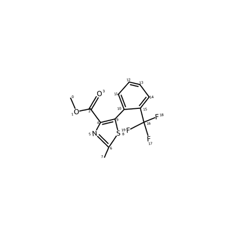 COC(=O)c1nc(C)sc1-c1ccccc1C(F)(F)F